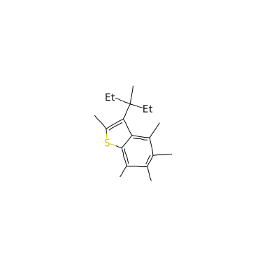 CCC(C)(CC)c1c(C)sc2c(C)c(C)c(C)c(C)c12